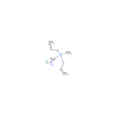 C=CC[N+](C)(C)CC=C.N.[Cl-]